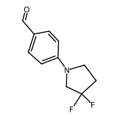 O=Cc1ccc(N2CCC(F)(F)C2)cc1